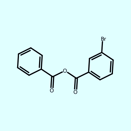 O=C(OC(=O)c1cccc(Br)c1)c1ccccc1